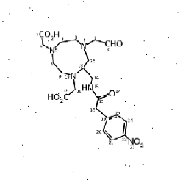 O=CCN1CCN(CC(=O)O)CCN(CC(=O)O)C(CNC(=O)Cc2ccc([N+](=O)[O-])cc2)C1